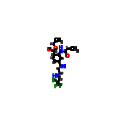 C=CC(=O)Nc1cc(NCCNCC(F)(F)F)ccc1C(=O)OCC